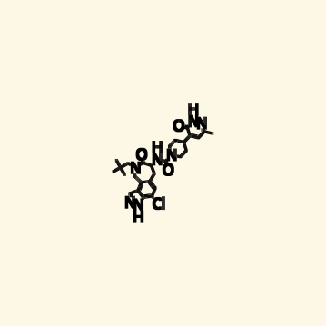 Cc1cc(C2CCN(C(=O)N[C@@H]3Cc4cc(Cl)c5[nH]ncc5c4CN(CC(C)(C)C)C3=O)CC2)c(=O)[nH]n1